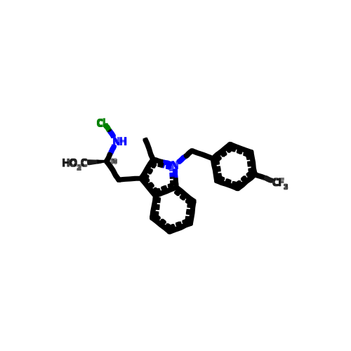 Cc1c(C[C@H](NCl)C(=O)O)c2ccccc2n1Cc1ccc(C(F)(F)F)cc1